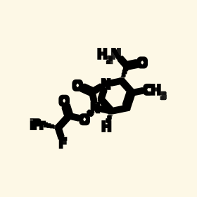 CC1=C[C@@H]2CN(C(=O)N2OC(=O)[C@H](F)C(C)C)[C@@H]1C(N)=O